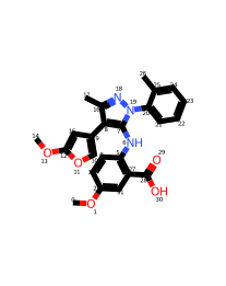 COc1ccc(Nc2c(-c3coc(OC)c3)c(C)nn2-c2ccccc2C)c(C(=O)O)c1